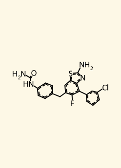 NC(=O)Nc1ccc(Cc2cc3sc(N)nc3c(-c3cccc(Cl)c3)c2F)cc1